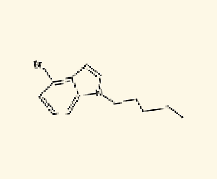 CCCCCn1ccc2c(Br)cccc21